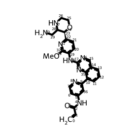 C=CC(=O)Nc1ccnc(-c2cccc3cnc(Nc4ccc([C@@H]5OCCNC5CN)nc4OC)nc23)c1